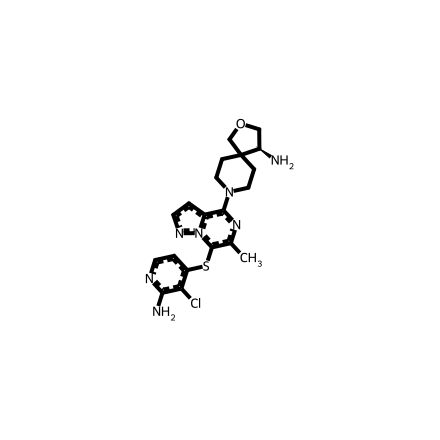 Cc1nc(N2CCC3(CC2)COC[C@H]3N)c2ccnn2c1Sc1ccnc(N)c1Cl